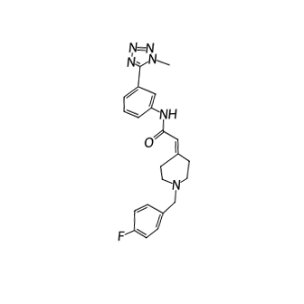 Cn1nnnc1-c1cccc(NC(=O)C=C2CCN(Cc3ccc(F)cc3)CC2)c1